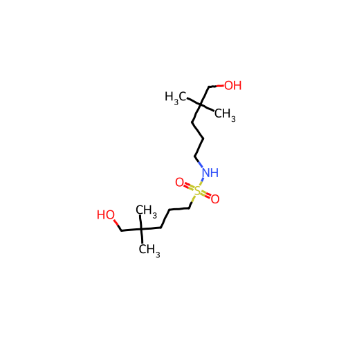 CC(C)(CO)CCCNS(=O)(=O)CCCC(C)(C)CO